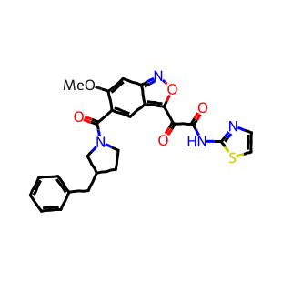 COc1cc2noc(C(=O)C(=O)Nc3nccs3)c2cc1C(=O)N1CCC(Cc2ccccc2)C1